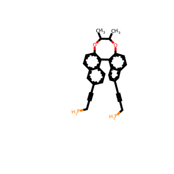 CC1Oc2ccc3cc(C#CCP)ccc3c2-c2c(ccc3cc(C#CCP)ccc23)OC1C